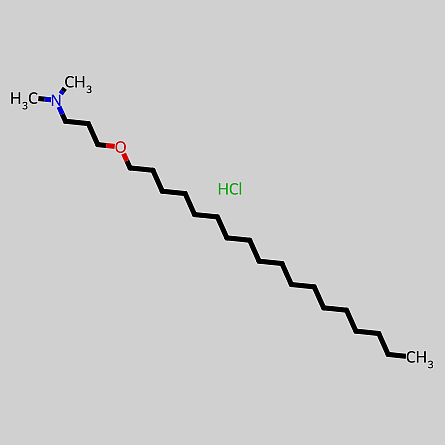 CCCCCCCCCCCCCCCCCCOCCCN(C)C.Cl